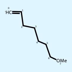 [CH]=CCCCCCOC